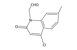 Cc1ccc2c(Cl)cc(=O)n(CC=O)c2c1